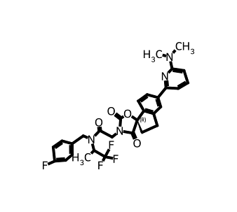 CC(N(Cc1ccc(F)cc1)C(=O)CN1C(=O)O[C@@]2(CCc3cc(-c4cccc(N(C)C)n4)ccc32)C1=O)C(F)(F)F